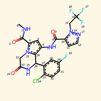 CNC(=O)c1cc(NC(=O)c2ccnn2CC(F)(F)F)c2n1CC(=O)NC2c1cc(F)ccc1Cl